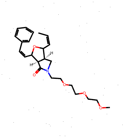 C/C=C\C1OC(/C=C\c2ccccc2)[C@@H]2C(=O)N(CCOCCOCCOC)C[C@H]12